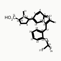 Cc1nc2ccc(C3CC[C@@H](C(=O)O)N3C)cn2c1Cc1ccccc1OC(F)F